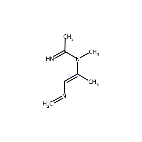 C=N/C=C(\C)N(C)C(C)=N